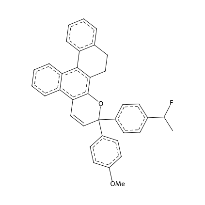 COc1ccc(C2(c3ccc(C(C)F)cc3)C=Cc3c(c4c(c5ccccc35)-c3ccccc3CC4)O2)cc1